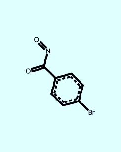 O=NC(=O)c1ccc(Br)cc1